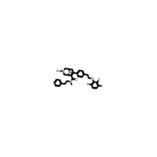 CC(=O)N1CC2CC(c3ccc(CCOc4c(F)ccc(F)c4F)cc3)=C(C(=O)N(C)CCc3ccccc3)C(C1)N2